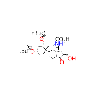 CC(C)(C)[Si](C)(C)OC[C@H]1C[C@@H](O[Si](C)(C)C(C)(C)C)CC[C@@]1(C)[C@H]1CC[C@]2(C)C(=O)/C(=C\O)C[C@@H]2[C@@H]1CNC(=O)O